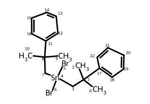 CC(C)([CH2][Sn]([Br])([Br])[CH2]C(C)(C)c1ccccc1)c1ccccc1